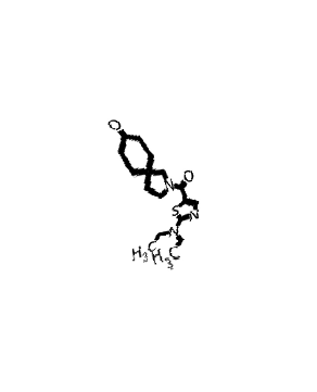 CCN(CC)c1ncc(C(=O)N2CCC3(CCC(=O)CC3)C2)s1